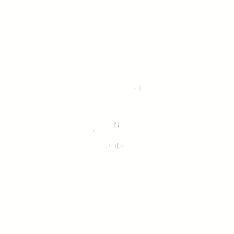 CC(C)COC(=O)N1CCc2c(Cl)cccc21